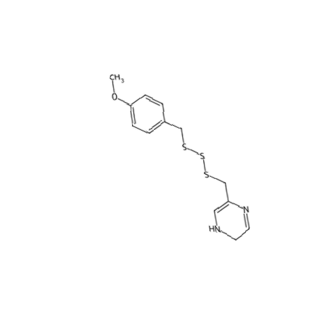 COc1ccc(CSSSCC2=CNCC=N2)cc1